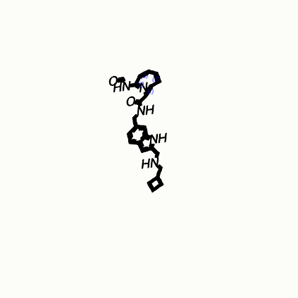 O=CNC1=N\C(C(=O)NCc2ccc3cc(CNCC4CCC4)[nH]c3c2)=C\C=C/C=C\1